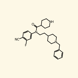 N#Cc1ccc(N(CCC2CCN(Cc3ccccc3)CC2)C(=O)C2CCNCC2)cc1F